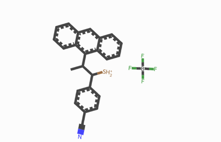 CC(c1c2ccccc2cc2ccccc12)C([SH2+])c1ccc(C#N)cc1.F[B-](F)(F)F